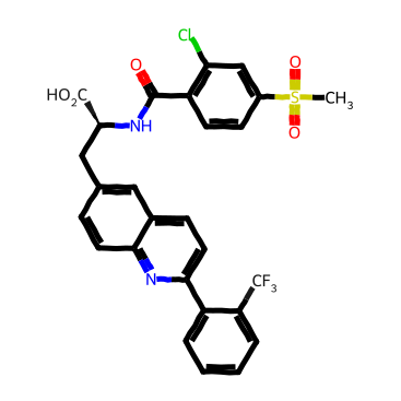 CS(=O)(=O)c1ccc(C(=O)N[C@@H](Cc2ccc3nc(-c4ccccc4C(F)(F)F)ccc3c2)C(=O)O)c(Cl)c1